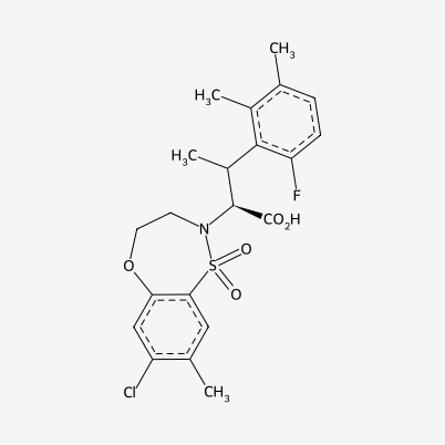 Cc1cc2c(cc1Cl)OCCN([C@H](C(=O)O)C(C)c1c(F)ccc(C)c1C)S2(=O)=O